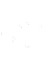 CNc1nnc(Cl)cc1N